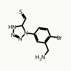 NCc1cc(N2N=NNC2C=S)ccc1Br